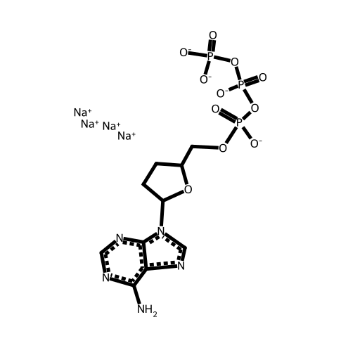 Nc1ncnc2c1ncn2C1CCC(COP(=O)([O-])OP(=O)([O-])OP(=O)([O-])[O-])O1.[Na+].[Na+].[Na+].[Na+]